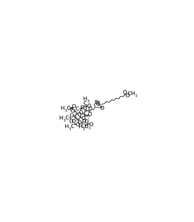 COC(=O)CCCCCCCCCCS(=O)(=O)CC(CBr)CO[C@H]1O[C@H](COC(C)=O)[C@@H](O[C@@H]2O[C@H](COC(C)=O)[C@H](OC(C)=O)[C@H](OC(C)=O)[C@H]2OC(C)=O)[C@H](OC(C)=O)[C@H]1OC(C)=O